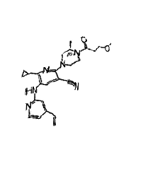 C=Cc1ccnc(Nc2cc(C#N)c(N3CCN(C(=O)CCOC)[C@H](C)C3)nc2C2CC2)c1